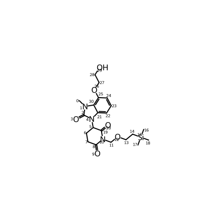 Cn1c(=O)n(C2CCC(=O)N(COCC[Si](C)(C)C)C2=O)c2cccc(OCCO)c21